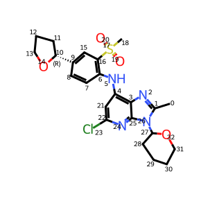 Cc1nc2c(Nc3ccc([C@H]4CCCO4)cc3S(C)(=O)=O)cc(Cl)nc2n1C1CCCCO1